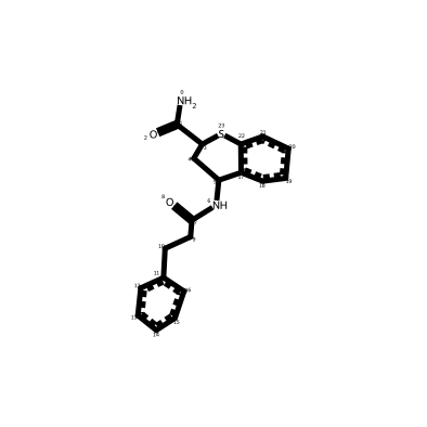 NC(=O)C1CC(NC(=O)[CH]Cc2ccccc2)c2ccccc2S1